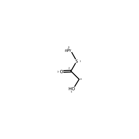 CCCSC(=O)CO